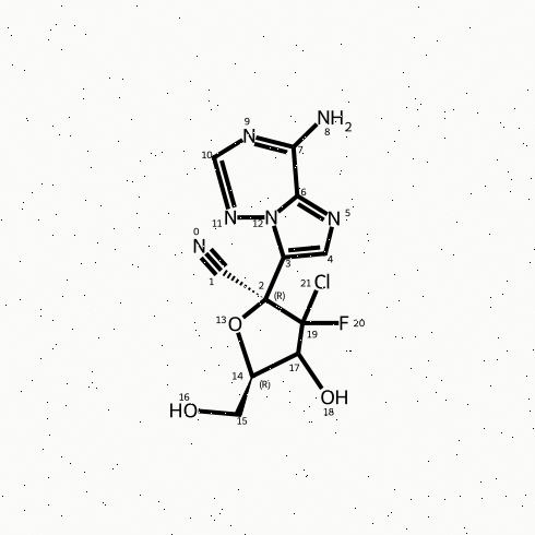 N#C[C@@]1(c2cnc3c(N)ncnn23)O[C@H](CO)C(O)C1(F)Cl